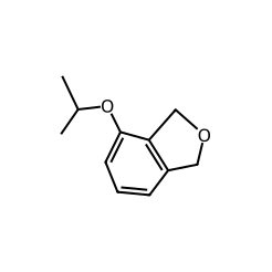 CC(C)Oc1cccc2c1COC2